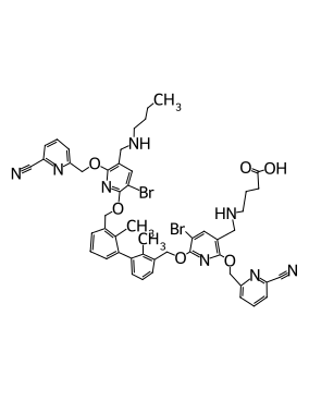 CCCCNCc1cc(Br)c(OCc2cccc(-c3cccc(COc4nc(OCc5cccc(C#N)n5)c(CNCCCC(=O)O)cc4Br)c3C)c2C)nc1OCc1cccc(C#N)n1